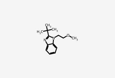 COCCn1c(C(C)(C)C)nc2ccccc21